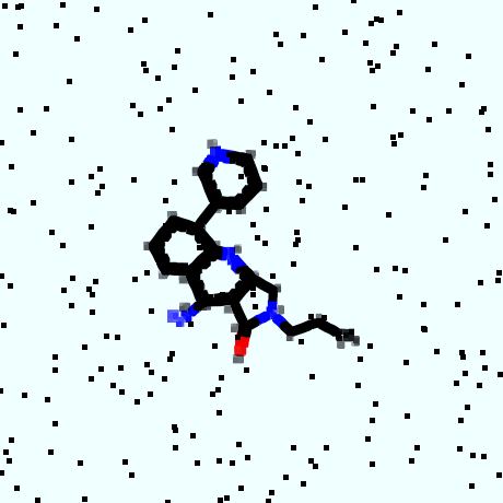 CCCN1Cc2nc3c(-c4cccnc4)cccc3c(N)c2C1=O